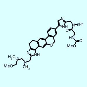 CCCN(Cc1ncc(-c2ccc3c(c2)COc2cc4c(cc2-3)CCc2nc(CN(C)C[C@@H](C)COC)[nH]c2-4)[nH]1)C(=O)CNC(=O)OC